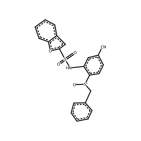 N#Cc1ccc([S+]([O-])Cc2ccccc2)c(NS(=O)(=O)c2cc3ccccc3o2)c1